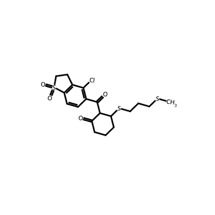 CSCCCSC1CCCC(=O)C1C(=O)c1ccc2c(c1Cl)CCS2(=O)=O